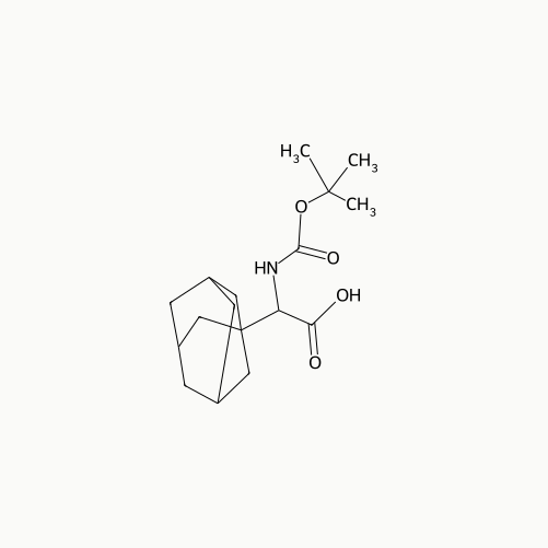 CC(C)(C)OC(=O)NC(C(=O)O)C12CC3CC(CC(C3)C1)C2